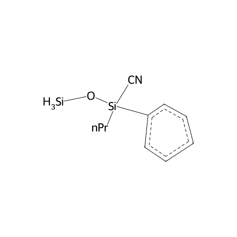 CCC[Si](C#N)(O[SiH3])c1ccccc1